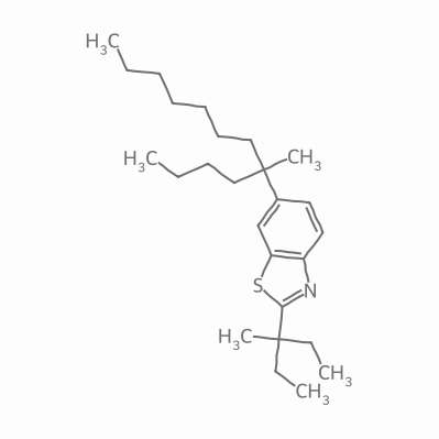 CCCCCCCC(C)(CCCC)c1ccc2nc(C(C)(CC)CC)sc2c1